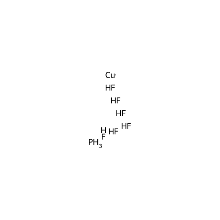 F.F.F.F.F.F.P.[Cu]